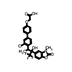 CC(c1ccc(-c2ccc(OCC(=O)O)cc2)cc1Cl)C(O)(c1ccc2oc(=O)n(C)c2c1)C(F)(F)F